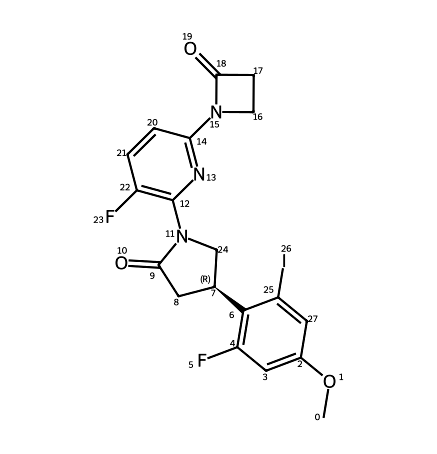 COc1cc(F)c([C@H]2CC(=O)N(c3nc(N4CCC4=O)ccc3F)C2)c(I)c1